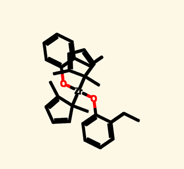 CCc1ccccc1[O][Zr]([O]c1ccccc1CC)([C]1(C)C=CC=C1C)[C]1(C)C=CC=C1C